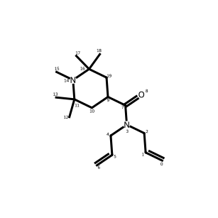 C=CCN(CC=C)C(=O)C1CC(C)(C)N(C)C(C)(C)C1